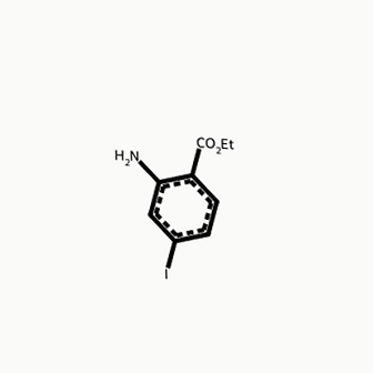 CCOC(=O)c1ccc(I)cc1N